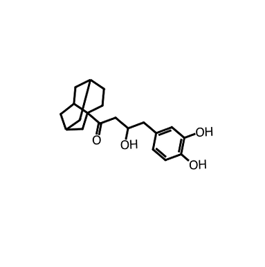 O=C(CC(O)Cc1ccc(O)c(O)c1)C12CCC3CC(CC1C3)C2